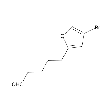 O=CCCCCc1cc(Br)co1